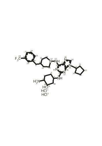 Cl.Cl.Cl.NC1CCC(Nc2nc(NN3CCC(Cc4cccc(C(F)(F)F)c4)CC3)c3ncn(C4CCCC4)c3n2)CC1